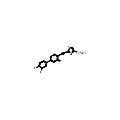 CCCCCc1cnc(C#Cc2ccc(-c3ccc(F)c(F)c3)cc2F)s1